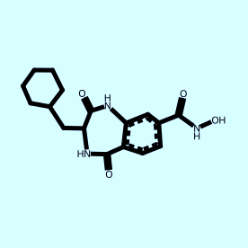 O=C(NO)c1ccc2c(c1)NC(=O)C(CC1CCCCC1)NC2=O